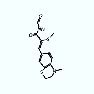 CS/C(=C\c1ccc2c(c1)SCCN2C)C(=O)NC=O